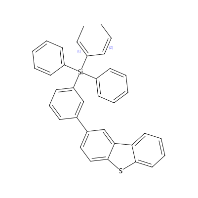 C/C=C\C(=C/C)[Si](c1ccccc1)(c1ccccc1)c1cccc(-c2ccc3sc4ccccc4c3c2)c1